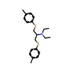 CCN(CC)C(CSc1ccc(C)cc1)CSc1ccc(C)cc1